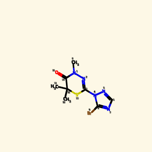 CN1N=C(n2ncnc2Br)SC(C)(C)C1=O